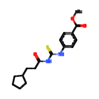 CCCCOC(=O)c1ccc(NC(=S)NC(=O)CCC2CCCC2)cc1